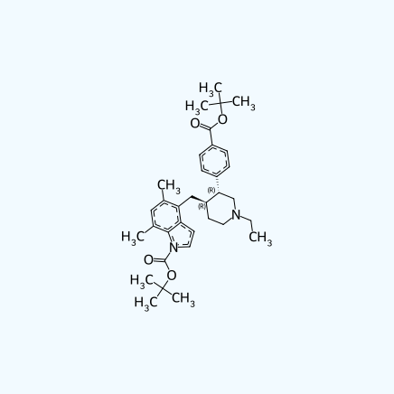 CCN1CC[C@@H](Cc2c(C)cc(C)c3c2ccn3C(=O)OC(C)(C)C)[C@H](c2ccc(C(=O)OC(C)(C)C)cc2)C1